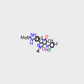 CNC(=N)Nc1cccc(-c2nn(C3CC3)c(=O)c3c(Nc4ccc(I)cc4F)c(C)c(=O)n(C)c23)c1